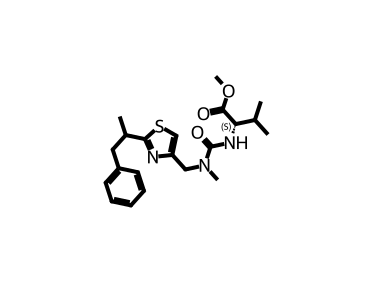 COC(=O)[C@@H](NC(=O)N(C)Cc1csc(C(C)Cc2ccccc2)n1)C(C)C